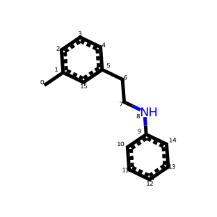 Cc1cccc(CCNc2cc[c]cc2)c1